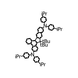 CC(C)c1ccc(N(c2ccc(C(C)C)cc2)c2ccc3cc4c(cc3c2)C(C(C)(C)C)(C(C)(C)C)c2c-4c3ccccc3c3cc(N(c4ccc(C(C)C)cc4)c4ccc(C(C)C)cc4)ccc23)cc1